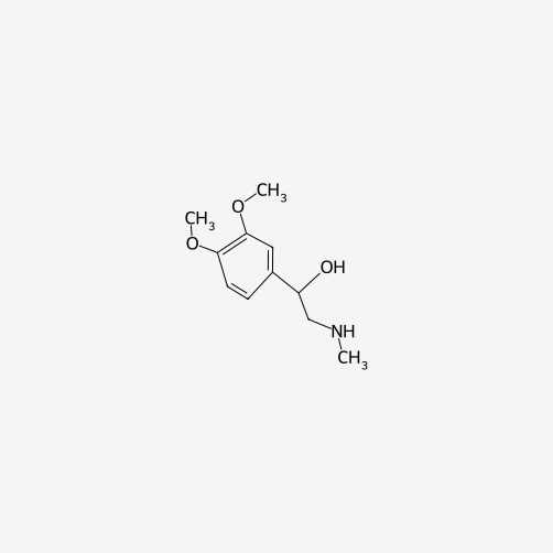 CNCC(O)c1ccc(OC)c(OC)c1